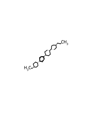 CCC[C@H]1CC[C@H]([C@H]2CC[C@H](c3ccc([C@H]4CC[C@H](CC)CC4)cc3)CC2)CC1